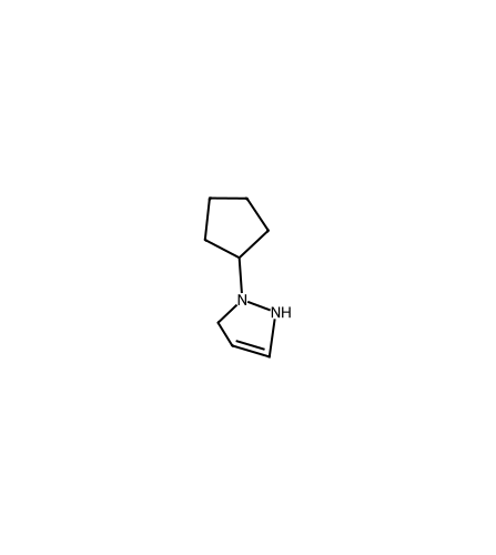 C1=CNN(C2CCCC2)C1